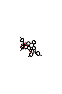 Cc1ccc(N(c2ccc(C)cc2)c2ccc3c(c2)C2(c4cc(N(c5ccc(C)cc5)c5ccc(C)cc5)ccc4-c4ccccc4-3)c3ccccc3-c3cc4ccccc4cc32)cc1